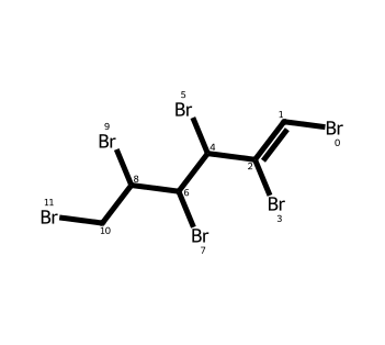 BrC=C(Br)C(Br)C(Br)C(Br)CBr